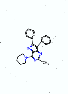 Cc1nc(N2CCCCC2)c2[nH]c(-c3ccccc3)c(-c3ccccc3)c2n1